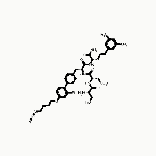 CCc1cc(OCCCCN=[N+]=[N-])ccc1-c1ccc(C[C@H](NC(=O)[C@H](CC(=O)O)NC(=O)[C@@H](N)CO)C(=O)N[C@@H](CCCc2cc(C)cc(C)c2)C(N)=O)cc1